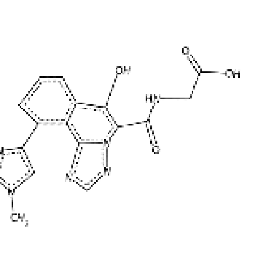 Cn1cc(-c2cccc3c(O)c(C(=O)NCC(=O)O)n4ncnc4c23)nn1